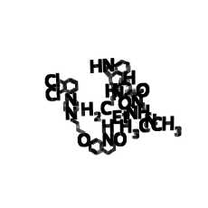 C=CCN1C[C@H](C(=O)N(CCCN(C)C)C(=O)NCC)C[C@@H]2c3cccc4[nH]cc(c34)C[C@H]21.O=C1CCc2ccc(OCCCCN3CCN(c4cccc(Cl)c4Cl)CC3)cc2N1